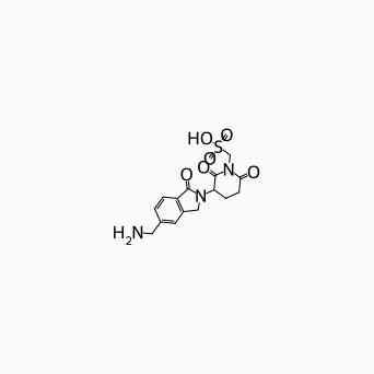 NCc1ccc2c(c1)CN(C1CCC(=O)N(CS(=O)(=O)O)C1=O)C2=O